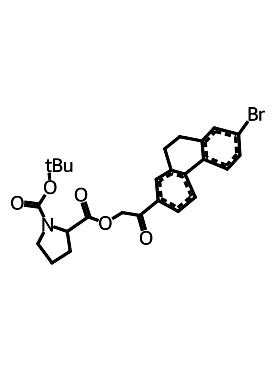 CC(C)(C)OC(=O)N1CCCC1C(=O)OCC(=O)c1ccc2c(c1)CCc1cc(Br)ccc1-2